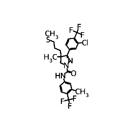 CSCCCC1(C)CN(C(=O)Nc2ccc(C(F)(F)F)c(C)c2)N=C1c1ccc(C(F)(F)F)c(Cl)c1